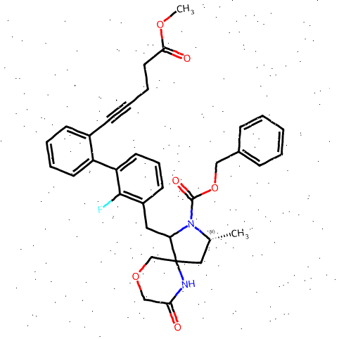 COC(=O)CCC#Cc1ccccc1-c1cccc(CC2N(C(=O)OCc3ccccc3)[C@H](C)CC23COCC(=O)N3)c1F